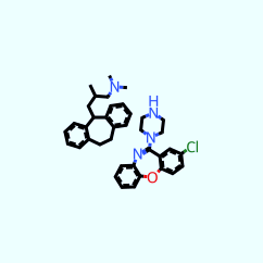 CC(CC1c2ccccc2CCc2ccccc21)CN(C)C.Clc1ccc2c(c1)C(N1CCNCC1)=Nc1ccccc1O2